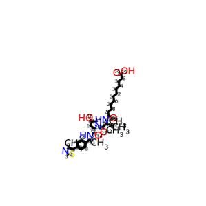 Cc1ncsc1-c1ccc([C@H](C)NC(=O)[C@@H]2C[C@@H](O)CN2C(=O)[C@@H](NC(=O)CCCCCCCCCCC(=O)O)C(C)(C)C)cc1